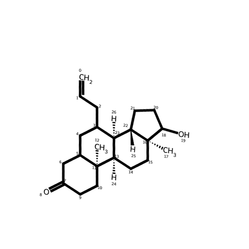 C=CCC1CC2CC(=O)CC[C@]2(C)[C@@H]2CC[C@]3(C)C(O)CC[C@H]3[C@H]12